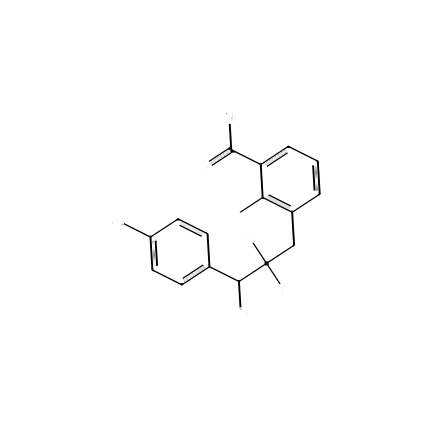 NC(=O)c1cccc(CC(F)(F)C(O)c2ccc(Cl)cc2)c1F